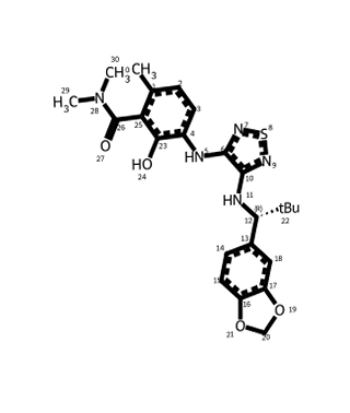 Cc1ccc(Nc2nsnc2N[C@@H](c2ccc3c(c2)OCO3)C(C)(C)C)c(O)c1C(=O)N(C)C